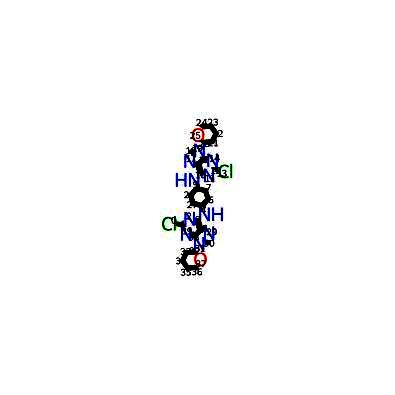 Clc1nc(NC2CCC(Nc3nc(Cl)nc4c3ncn4C3CCCCO3)CC2)c2ncn(C3CCCCO3)c2n1